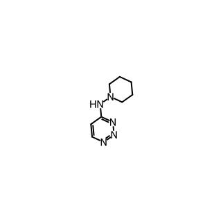 c1cc(NN2CCCCC2)nnn1